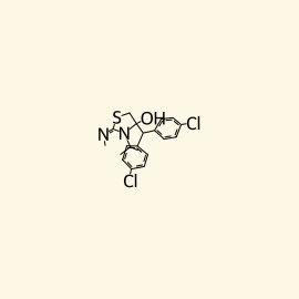 C/N=C1/SCC(O)(C(c2ccc(Cl)cc2)c2ccc(Cl)cc2)N1C(C)C